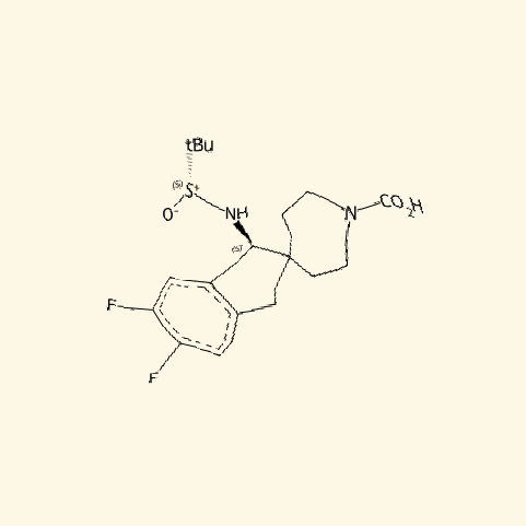 CC(C)(C)[S@@+]([O-])N[C@@H]1c2cc(F)c(F)cc2CC12CCN(C(=O)O)CC2